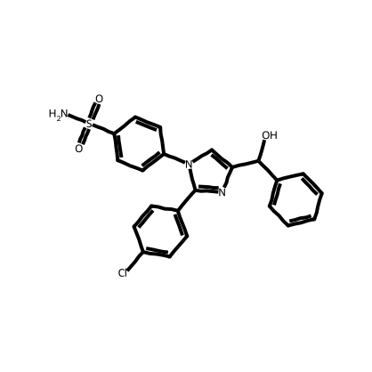 NS(=O)(=O)c1ccc(-n2cc(C(O)c3ccccc3)nc2-c2ccc(Cl)cc2)cc1